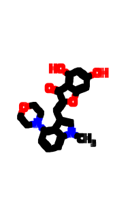 Cn1cc(C=C2Oc3cc(O)cc(O)c3C2=O)c2c(N3CCOCC3)cccc21